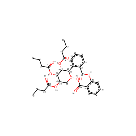 CCCC(=O)O[C@@H]1[C@H](OC(=O)CCC)[C@@H](c2ccccc2COc2ccccc2C(=O)O)OC[C@H]1OC(=O)CCC